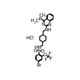 CN(C)c1nc(NCC2CCC(CNS(=O)(=O)c3ccc(Br)cc3OC(F)(F)F)CC2)nc2ccccc12.Cl